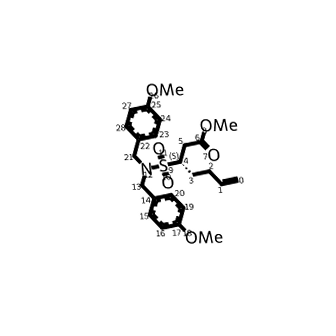 C=CCC[C@@H](CC(=O)OC)S(=O)(=O)N(Cc1ccc(OC)cc1)Cc1ccc(OC)cc1